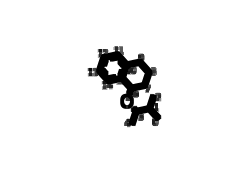 CC(C)C(C)OC1CCCc2ccccc21